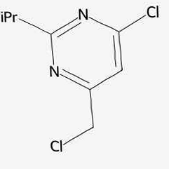 CC(C)c1nc(Cl)cc(CCl)n1